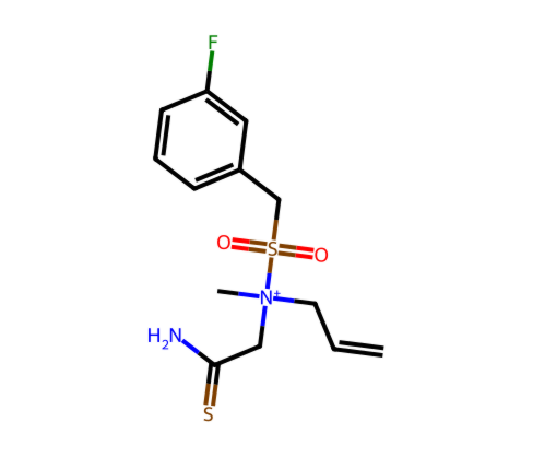 C=CC[N+](C)(CC(N)=S)S(=O)(=O)Cc1cccc(F)c1